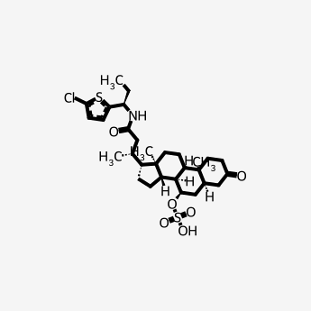 CC[C@@H](NC(=O)C[C@@H](C)[C@H]1CC[C@H]2[C@@H]3[C@H](OS(=O)(=O)O)C[C@@H]4CC(=O)CC[C@]4(C)[C@H]3CC[C@]12C)c1ccc(Cl)s1